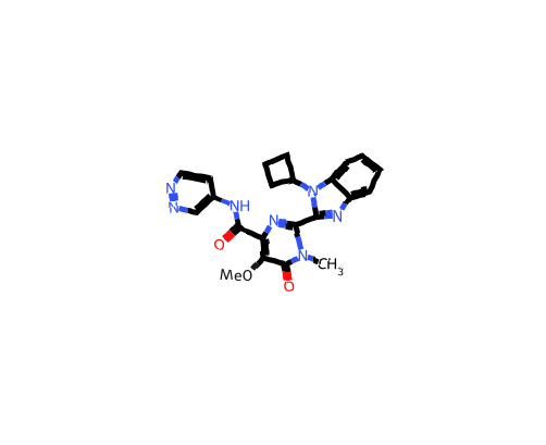 COc1c(C(=O)Nc2ccnnc2)nc(-c2nc3ccccc3n2C2CCC2)n(C)c1=O